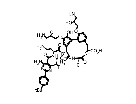 C[C@@H]1NC(=O)[C@@H](N(C)C(=O)[C@H](CCN)NC(=O)c2c(N)nc(-c3ccc(C(C)(C)C)cc3)nc2C(F)F)c2cc(OC[C@H](O)CN)c(O)c(c2)-c2cc(ccc2OC[C@H](O)CN)CC(C(=O)O)NC1=O